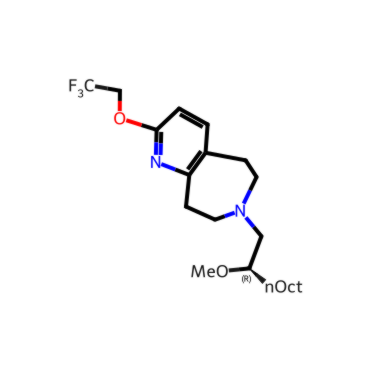 CCCCCCCC[C@H](CN1CCc2ccc(OCC(F)(F)F)nc2CC1)OC